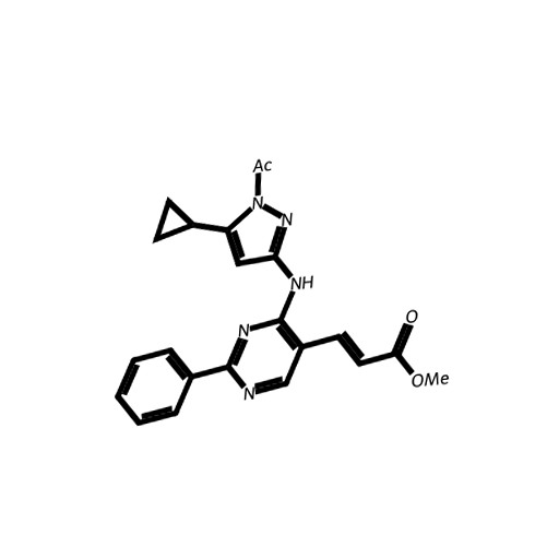 COC(=O)C=Cc1cnc(-c2ccccc2)nc1Nc1cc(C2CC2)n(C(C)=O)n1